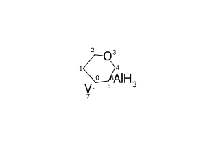 C1CCOCC1.[AlH3].[V]